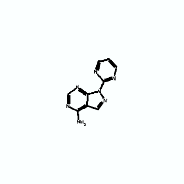 Nc1ncnc2c1cnn2-c1ncccn1